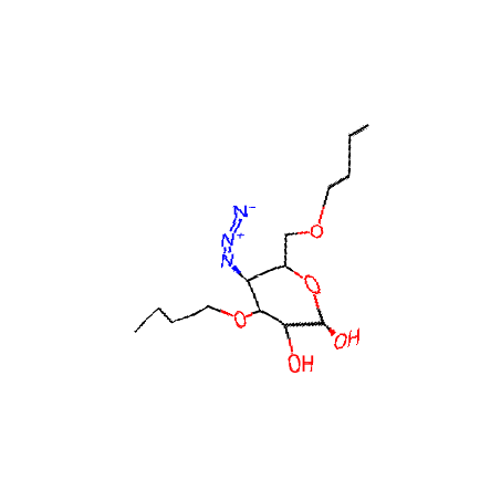 CCCCOCC1O[C@@H](O)C(O)C(OCCCC)[C@H]1N=[N+]=[N-]